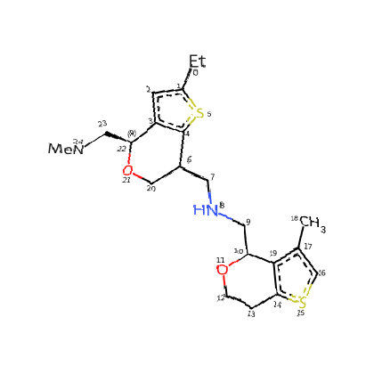 CCc1cc2c(s1)C(CNCC1OCCc3scc(C)c31)CO[C@H]2CNC